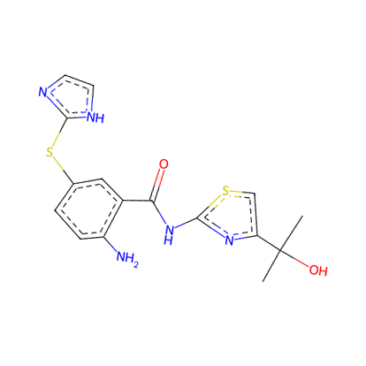 CC(C)(O)c1csc(NC(=O)c2cc(Sc3ncc[nH]3)ccc2N)n1